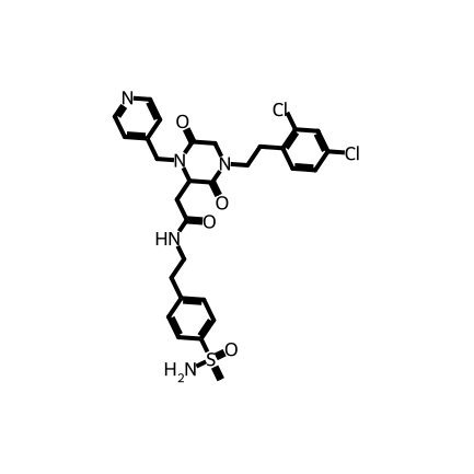 C=S(N)(=O)c1ccc(CCNC(=O)CC2C(=O)N(CCc3ccc(Cl)cc3Cl)CC(=O)N2Cc2ccncc2)cc1